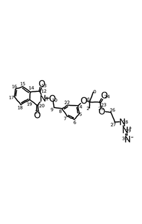 CC(C)(Oc1cccc(CON2C(=O)c3ccccc3C2=O)c1)C(=O)OCCN=[N+]=[N-]